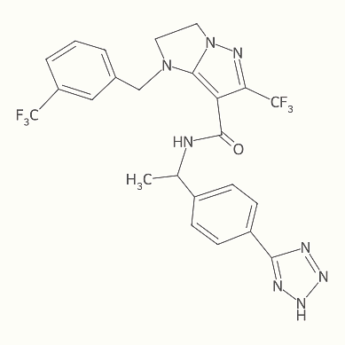 CC(NC(=O)c1c(C(F)(F)F)nn2c1N(Cc1cccc(C(F)(F)F)c1)CC2)c1ccc(-c2nn[nH]n2)cc1